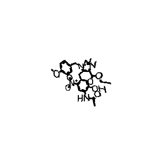 CCOC(=O)c1nnn(Cc2ccc(OC)cc2)c1Cc1cc(O)c(NC(C)=O)cc1[N+](=O)[O-]